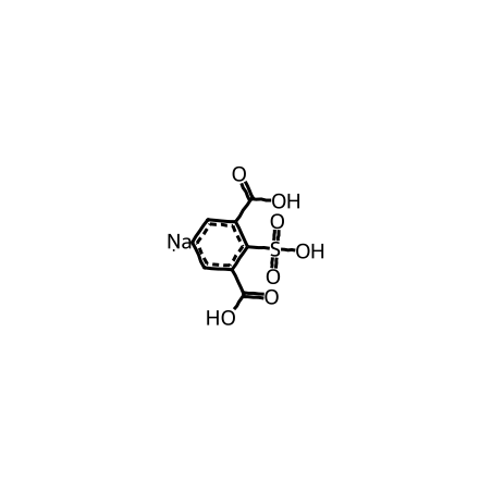 O=C(O)c1cccc(C(=O)O)c1S(=O)(=O)O.[Na]